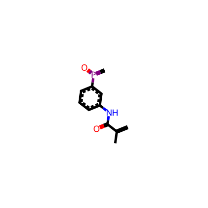 C=C(C)C(=O)Nc1cccc(P(=C)=O)c1